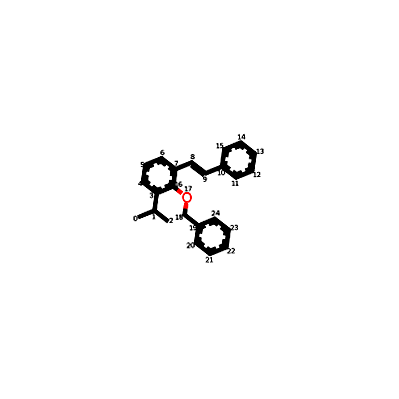 CC(C)c1cccc(C=Cc2ccccc2)c1OCc1ccccc1